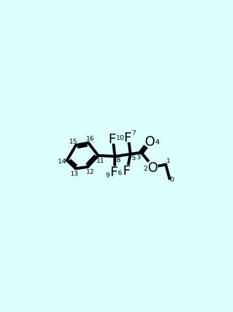 CCOC(=O)C(F)(F)C(F)(F)c1ccccc1